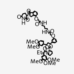 CC[C@H](C(=O)N1CCCC[C@H]1C(=O)OC(CCc1ccc(OC)c(OC)c1)c1cccc(OCC(=O)NCCCCNC(=O)COc2cccc3c2CN(C2CCC(=O)NC2=O)C3=O)c1)c1cc(OC)c(OC)c(OC)c1